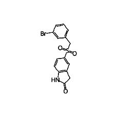 O=C1Cc2cc(S(=O)(=O)Cc3cccc(Br)c3)ccc2N1